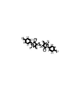 Cc1c(SSc2c(C)n(C)n(-c3ccc(I)cc3)c2=O)c(=O)n(-c2ccc(I)cc2)n1C